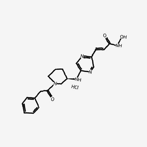 Cl.O=C(/C=C/c1cnc(N[C@@H]2CCCN(C(=O)Cc3ccccc3)C2)cn1)NO